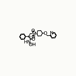 O=C(NO)[C@H](CS(=O)(=O)N1CCC(OCc2ccccn2)CC1)c1ccccc1